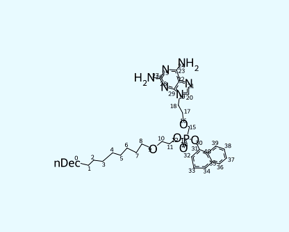 CCCCCCCCCCCCCCCCCCOCCOP(=O)(COCCn1cnc2c(N)nc(N)nc21)Oc1cccc2ccccc12